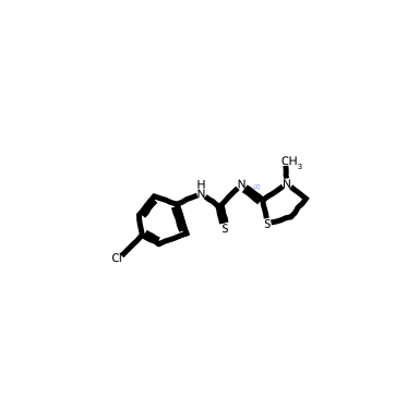 CN1CCS/C1=N\C(=S)Nc1ccc(Cl)cc1